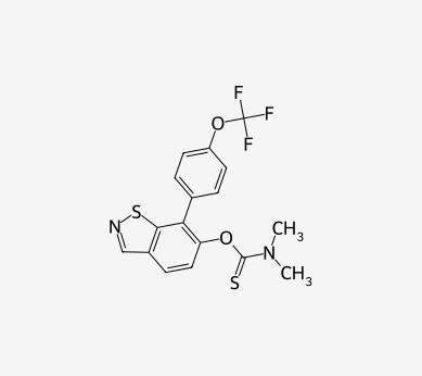 CN(C)C(=S)Oc1ccc2cnsc2c1-c1ccc(OC(F)(F)F)cc1